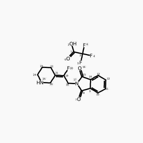 O=C(O)C(F)(F)F.O=C1c2ccccc2C(=O)N1C/C(F)=C1/CCCNC1